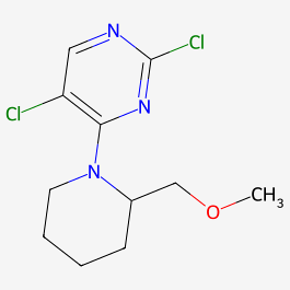 COCC1CCCCN1c1nc(Cl)ncc1Cl